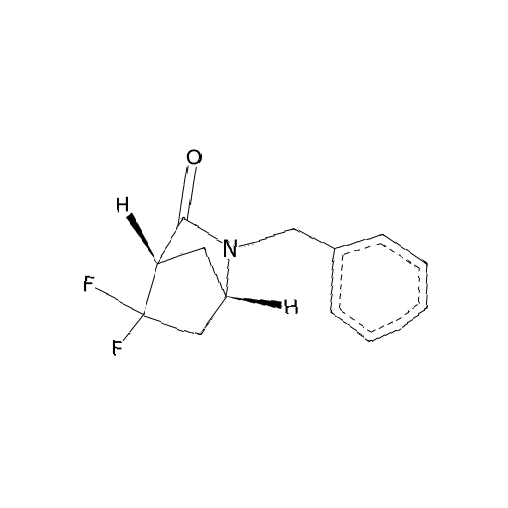 O=C1[C@@H]2C[C@@H](CC2(F)F)N1Cc1ccccc1